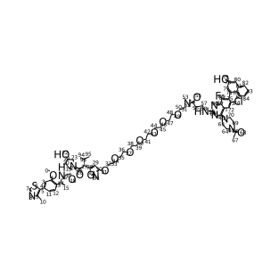 COc1cc(-c2scnc2C)ccc1[C@H](C)NC(=O)[C@@H]1C[C@@H](O)CN1C(=O)[C@H](c1cc(OCCOCCOCCOCCOCCOCCOCCN(C)C(=O)CCNc2nc(N3CCN(C(C)=O)CC3)c3cc(Cl)c(-c4cc(O)cc5ccccc45)c(F)c3n2)no1)C(C)C